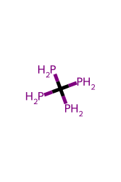 PC(P)(P)P